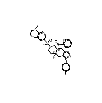 CN1CCOc2cc(S(=O)(=O)N3CC[C@H]4Cc5c(cnn5-c5ccc(F)cc5)C[C@]4(C(=O)c4ccccn4)C3)cnc21